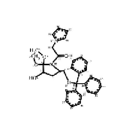 COC1(OC)C(O)CC(COC(c2ccccc2)(c2ccccc2)c2ccccc2)N1C(=O)Cn1cccc1